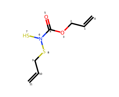 C=CCOC(=O)N(S)SCC=C